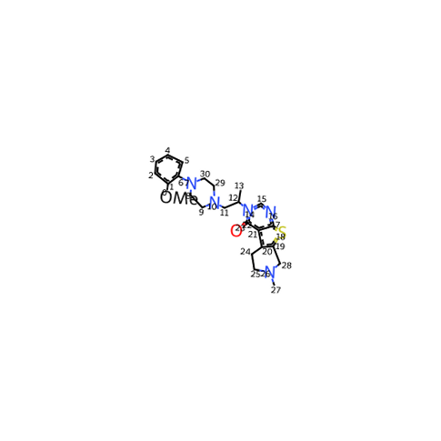 COc1ccccc1N1CCN(CC(C)n2cnc3sc4c(c3c2=O)CCN(C)C4)CC1